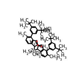 CC1=Cc2c(ccc(C)c2-c2cc(C(C)(C)C)cc(C(C)(C)C)c2)[CH]1[Zr]([CH3])([CH3])(=[SiH2])[CH]1C(C)=Cc2c1ccc(C)c2-c1cc(C(C)(C)C)cc(C(C)(C)C)c1.Cl.Cl